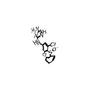 Nc1nc(Nc2cc(Cl)c([S+]([O-])c3ccccc3)c(Cl)c2)n[nH]1